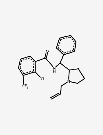 C=CCN1CCCC1C(NC(=O)c1cccc(C(F)(F)F)c1Cl)c1ccccc1